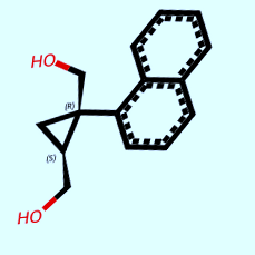 OC[C@H]1C[C@]1(CO)c1cccc2ccccc12